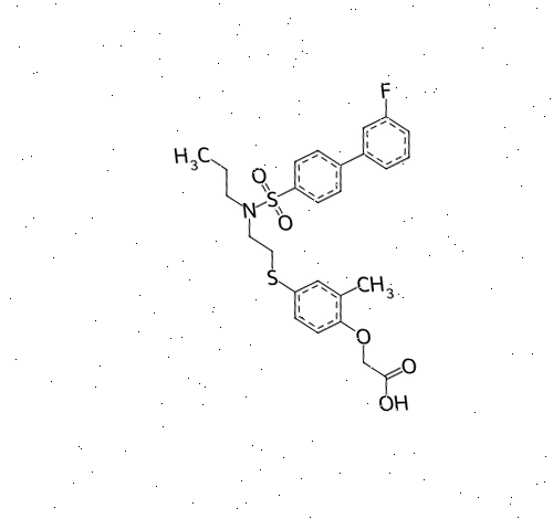 CCCN(CCSc1ccc(OCC(=O)O)c(C)c1)S(=O)(=O)c1ccc(-c2cccc(F)c2)cc1